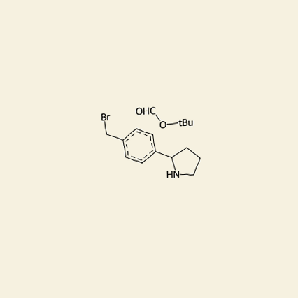 BrCc1ccc(C2CCCN2)cc1.CC(C)(C)OC=O